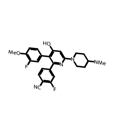 CNC1CCN(c2cc(O)c(-c3ccc(OC)c(F)c3)c(-c3ccc(C#N)c(F)c3)n2)CC1